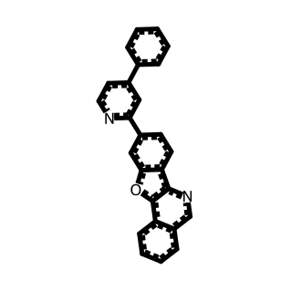 c1ccc(-c2ccnc(-c3ccc4c(c3)oc3c5ccccc5cnc43)c2)cc1